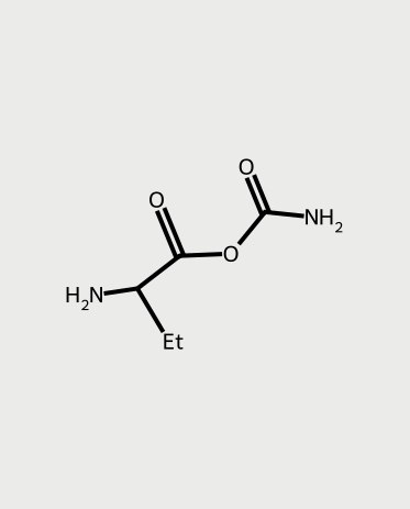 CCC(N)C(=O)OC(N)=O